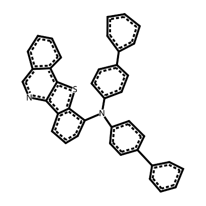 c1ccc(-c2ccc(N(c3ccc(-c4ccccc4)cc3)c3cccc4c3sc3c5ccccc5cnc43)cc2)cc1